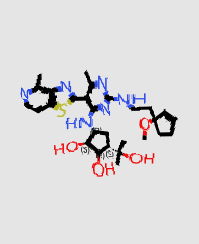 COC1(CCNc2nc(C)c(-c3nc4c(C)nccc4s3)c(N[C@@H]3C[C@H](C(C)(C)O)[C@@H](O)[C@H]3O)n2)CCCC1